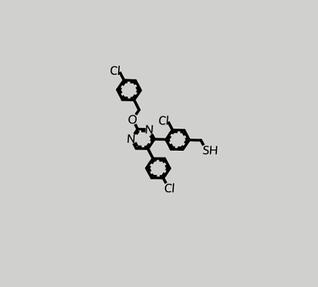 SCc1ccc(-c2nc(OCc3ccc(Cl)cc3)ncc2-c2ccc(Cl)cc2)c(Cl)c1